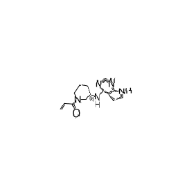 C=CC(=O)N1CCC[C@@H](Nc2ncnc3[nH]ccc23)C1